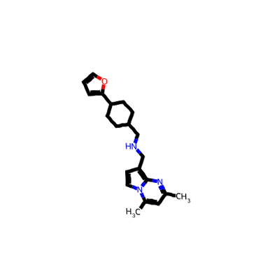 Cc1cc(C)n2ccc(CNCC3CCC(c4ccco4)CC3)c2n1